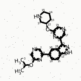 CC(C)Oc1cncc(-c2ccc3[nH]nc(-c4cncc(O[C@@H]5CCCNC5)n4)c3c2)n1